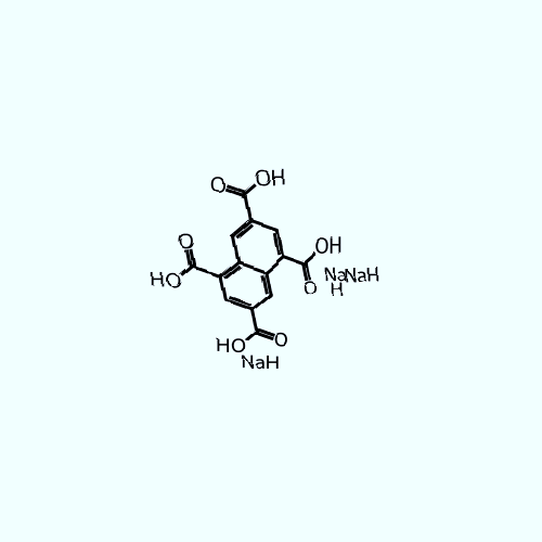 O=C(O)c1cc(C(=O)O)c2cc(C(=O)O)cc(C(=O)O)c2c1.[NaH].[NaH].[NaH]